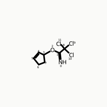 N=C(OC1C=CCC1)C(Cl)(Cl)Cl